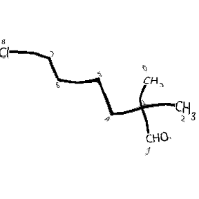 CC(C)([C]=O)CCCCCl